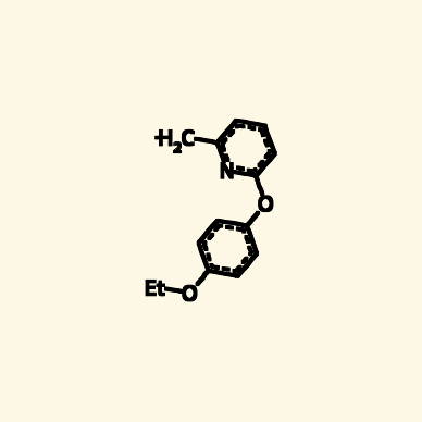 [CH2]c1cccc(Oc2ccc(OCC)cc2)n1